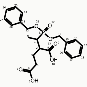 CC(C(CCC(=O)O)C(=O)O)P(=O)(OCc1ccccc1)OCc1ccccc1